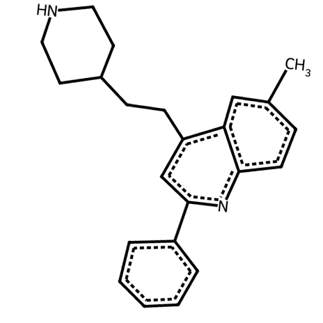 Cc1ccc2nc(-c3ccccc3)cc(CCC3CCNCC3)c2c1